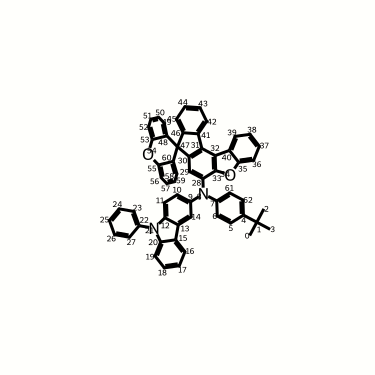 CC(C)(C)c1ccc(N(c2ccc3c(c2)c2ccccc2n3-c2ccccc2)c2cc3c(c4c2oc2ccccc24)-c2ccccc2C32c3ccccc3Oc3ccccc32)cc1